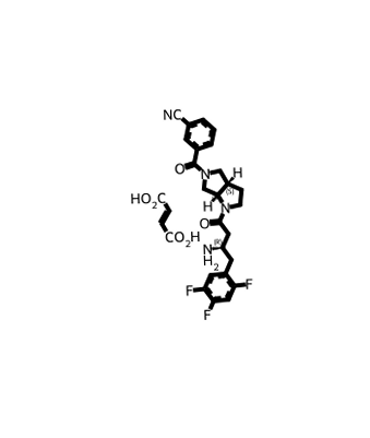 N#Cc1cccc(C(=O)N2C[C@@H]3CCN(C(=O)C[C@H](N)Cc4cc(F)c(F)cc4F)[C@@H]3C2)c1.O=C(O)C=CC(=O)O